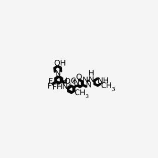 Cc1ccc(NC(=O)c2cc(N3CCC(O)CC3)cc(C(F)(F)F)c2)cc1-c1cc2cnc(NC3CCC(C)NC3)nc2c(=O)n1C